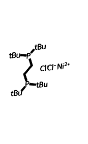 CC(C)(C)P(CCP(C(C)(C)C)C(C)(C)C)C(C)(C)C.[Cl-].[Cl-].[Ni+2]